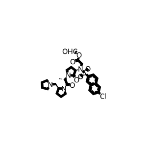 C[C@@H](C(=O)N1CCC[C@H]1CN1CCCC1)N1CC[C@H](N(CC(=O)OC=O)S(=O)(=O)c2ccc3cc(Cl)ccc3c2)C1=O